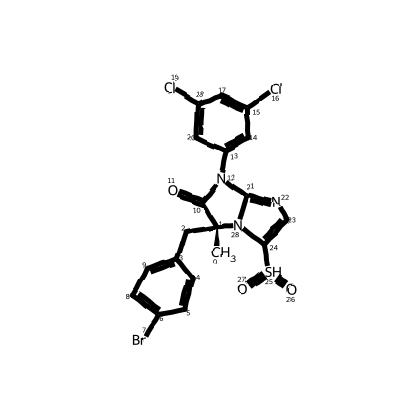 C[C@@]1(Cc2ccc(Br)cc2)C(=O)N(c2cc(Cl)cc(Cl)c2)c2ncc([SH](=O)=O)n21